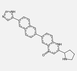 O=c1cc(C2CCCN2)[nH]c2ccc(-c3ccc4cc(-c5cnc[nH]5)ccc4c3)cc12